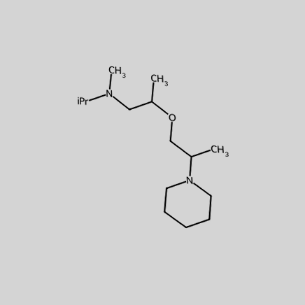 CC(CN(C)C(C)C)OCC(C)N1CCCCC1